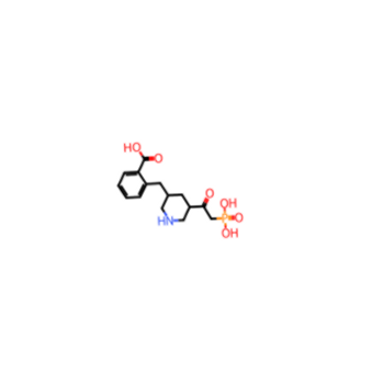 O=C(O)c1ccccc1CC1CNCC(C(=O)CP(=O)(O)O)C1